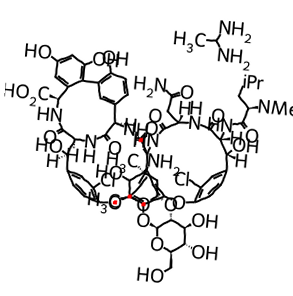 CC(N)N.CN[C@H](CC(C)C)C(=O)N[C@H]1C(=O)N[C@@H](CC(N)=O)C(=O)N[C@H]2C(=O)N[C@H]3C(=O)N[C@H](C(=O)N[C@@H](C(=O)O)c4cc(O)cc(O)c4-c4cc3ccc4O)[C@H](O)c3ccc(c(Cl)c3)Oc3cc2cc(c3O[C@@H]2O[C@H](CO)[C@@H](O)[C@H](O)[C@H]2O[C@H]2C[C@](C)(N)C(O)[C@H](C)O2)Oc2ccc(cc2Cl)[C@H]1O